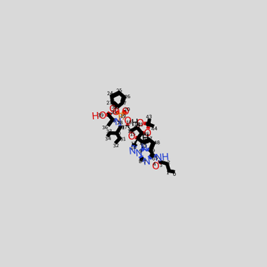 CCCC(=O)Nc1ncnn2c([C@]3(C#N)O[C@H](COP(=O)(Oc4ccccc4)N(CC(CC)CC)C(C)C(=O)O)[C@H]4OC(C)(C)O[C@H]43)ccc12